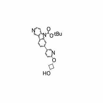 CC(C)(C)OC(=O)n1c2ccncc2c2ccc(-c3ccc(O[C@H]4C[C@@H](O)C4)nc3)cc21